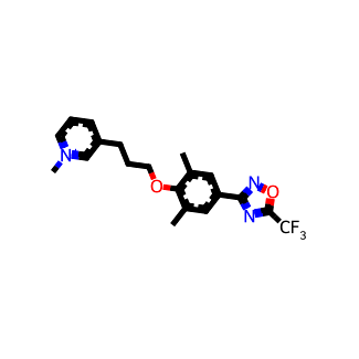 Cc1cc(-c2noc(C(F)(F)F)n2)cc(C)c1OCCCc1ccc[n+](C)c1